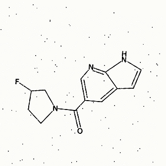 O=C(c1cnc2[nH]ccc2c1)N1CCC(F)C1